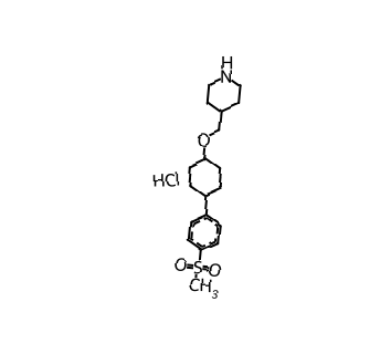 CS(=O)(=O)c1ccc(C2CCC(OCC3CCNCC3)CC2)cc1.Cl